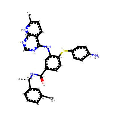 CC(C)c1ccc2c(Nc3cc(C(=O)N[C@@H](C)c4cccc(C(F)(F)F)c4)ccc3Sc3ccc(N)cc3)ncnc2n1